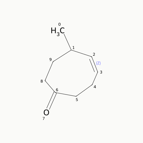 CC1/C=C\CCC(=O)CC1